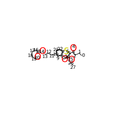 CCCC(=O)C(Sc1ccc(CCCOC2CCCCO2)cc1)C(=O)OCC